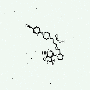 N#Cc1ccc(N2CCN(CCCOCC3CCCN3c3cn[nH]c(=O)c3C(F)(F)F)CC2)nc1.O=CO